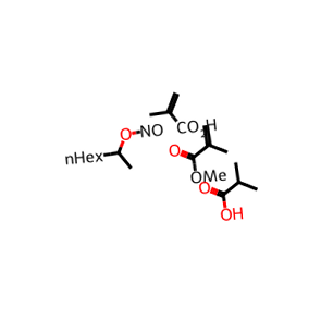 C=C(C)C(=O)O.C=C(C)C(=O)OC.CC(C)C(=O)O.CCCCCCC(C)ON=O